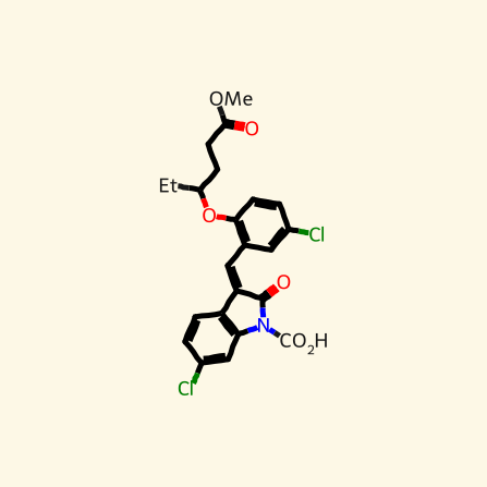 CCC(CCC(=O)OC)Oc1ccc(Cl)cc1/C=C1\C(=O)N(C(=O)O)c2cc(Cl)ccc21